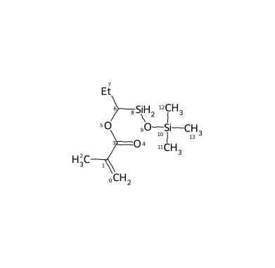 C=C(C)C(=O)OC(CC)[SiH2]O[Si](C)(C)C